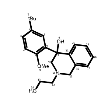 COc1ccc(C(C)(C)C)cc1C1(O)CN(CCO)Cc2ccccc21